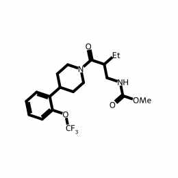 CCC(CNC(=O)OC)C(=O)N1CCC(c2ccccc2OC(F)(F)F)CC1